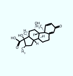 C[C@@H]1C[C@H]2[C@@H]3CCC4=CC(=O)C=C[C@]4(C)[C@@]3(F)[C@@H](O)C[C@]2(C)[C@@]1(O)C(=O)O